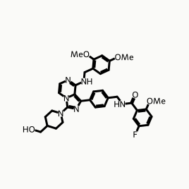 COc1ccc(CNc2nccn3c(N4CCC(CO)CC4)nc(-c4ccc(CNC(=O)c5cc(F)ccc5OC)cc4)c23)c(OC)c1